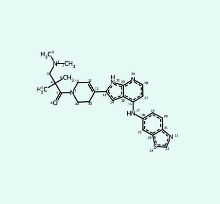 CN(C)CC(C)(C)C(=O)N1CC=C(c2cc3c(Nc4ccc5ncsc5c4)ccnc3[nH]2)CC1